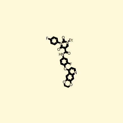 CCn1cc(C(=O)Nc2ccc(Oc3ccnc4cc5c(cc34)OCCO5)c(F)c2)c(=O)n(-c2ccc(F)cc2)c1=O